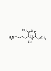 C=CC(=O)NC(CCCCN)C(=O)O.[Cu]